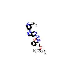 Cc1cc(-n2ncc3cc(NC(=O)N[C@H](CCOC(C)C)c4ccccc4)ncc32)ccn1